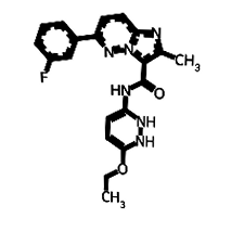 CCOC1=CC=C(NC(=O)c2c(C)nc3ccc(-c4cccc(F)c4)nn23)NN1